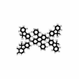 CC1C=CC2=C(C1C)C(C)(C)c1cc(N(c3ccc4c(c3)C(C)(C)c3ccccc3-4)c3ccc4c(-c5ccccc5)c5cc(N(c6ccc7c(c6)C(C)(C)c6ccccc6-7)c6ccc7c(c6)C(C)(C)c6ccccc6-7)ccc5c(-c5ccccc5)c4c3)ccc12